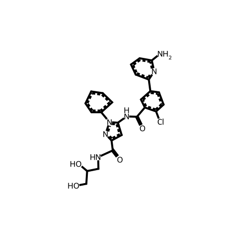 Nc1cccc(-c2ccc(Cl)c(C(=O)Nc3cc(C(=O)NCC(O)CO)nn3-c3ccccc3)c2)n1